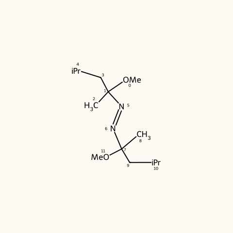 COC(C)(CC(C)C)N=NC(C)(CC(C)C)OC